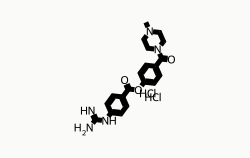 CN1CCN(C(=O)c2ccc(OC(=O)c3ccc(NC(=N)N)cc3)cc2)CC1.Cl.Cl